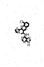 CC(Nc1ncnc2[nH]cnc12)c1cc2cccc(Cl)c2nc1-c1nccs1